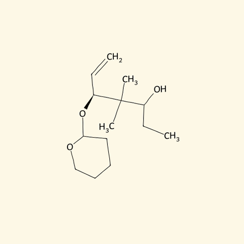 C=C[C@H](OC1CCCCO1)C(C)(C)C(O)CC